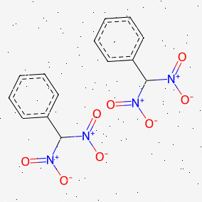 O=[N+]([O-])C(c1ccccc1)[N+](=O)[O-].O=[N+]([O-])C(c1ccccc1)[N+](=O)[O-]